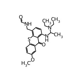 CCN(CC)C(C)Nc1ccc(CNC=O)c2sc3ccc(OC)cc3c(=O)c12